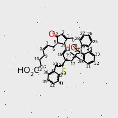 CC1=CC(=O)[C@H](C/C=C\CCCC(=O)O)[C@H]1/C=C/[C@@H](CC(C)(C)[Si](O)(c1ccccc1)c1ccccc1)c1cc2ccccc2s1